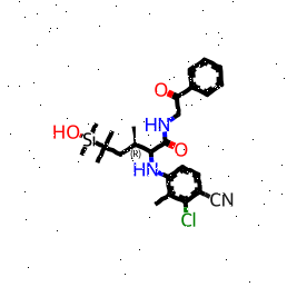 Cc1c(NC(C(=O)NCC(=O)c2ccccc2)[C@H](C)CC(C)(C)[Si](C)(C)O)ccc(C#N)c1Cl